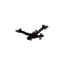 CCC(=O)NCCOCCOC(CNC(=O)OC(C)(C)C)C(CCC(=O)NCCOCCOCCNC(=O)O)(CCC(=O)NCCOCCOCCNC(=O)O)NC(=O)O